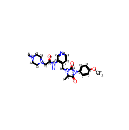 CC1C(=O)N(c2ccc(OC(F)(F)F)cc2)C(=O)N1Cc1ccncc1NC(=O)CN1CCN(C)CC1